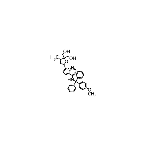 COc1ccc(C(Nc2ncnn3c([C@H]4C[C@H](C)C(CO)(CO)O4)ccc23)(c2ccccc2)c2ccccc2)cc1